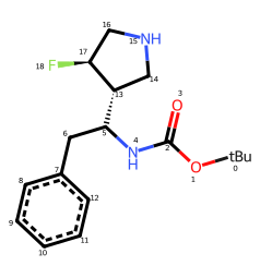 CC(C)(C)OC(=O)NC(Cc1ccccc1)[C@H]1CNC[C@@H]1F